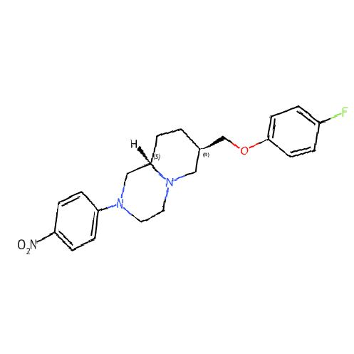 O=[N+]([O-])c1ccc(N2CCN3C[C@H](COc4ccc(F)cc4)CC[C@H]3C2)cc1